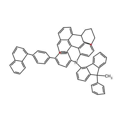 CC1(c2ccccc2)c2ccccc2-c2c(N(c3ccc(-c4ccc(-c5cccc6ccccc56)cc4)cc3)c3ccccc3-c3cccc4cccc(C5CCCCC5)c34)cccc21